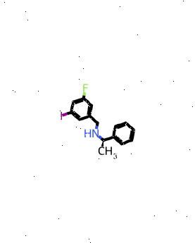 C[C@@H](NCc1cc(F)cc(I)c1)c1ccccc1